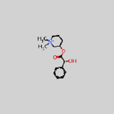 C[N+]1(C)CCC[C@@H](OC(=O)[C@@H](O)c2ccccc2)C1